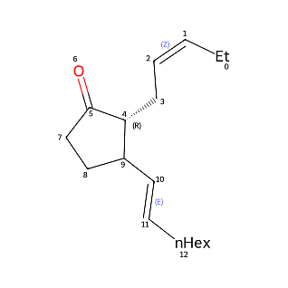 CC/C=C\C[C@H]1C(=O)CCC1/C=C/CCCCCC